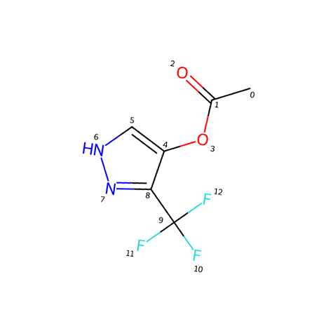 CC(=O)Oc1c[nH]nc1C(F)(F)F